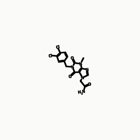 Cn1c(=O)n(Cc2ccc(Cl)c(Cl)c2)c(=O)c2c1ncn2CC(N)=O